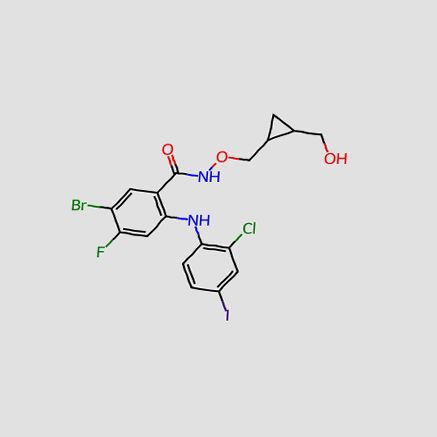 O=C(NOCC1CC1CO)c1cc(Br)c(F)cc1Nc1ccc(I)cc1Cl